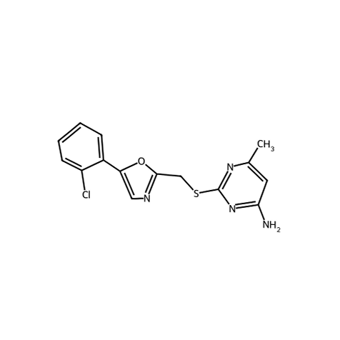 Cc1cc(N)nc(SCc2ncc(-c3ccccc3Cl)o2)n1